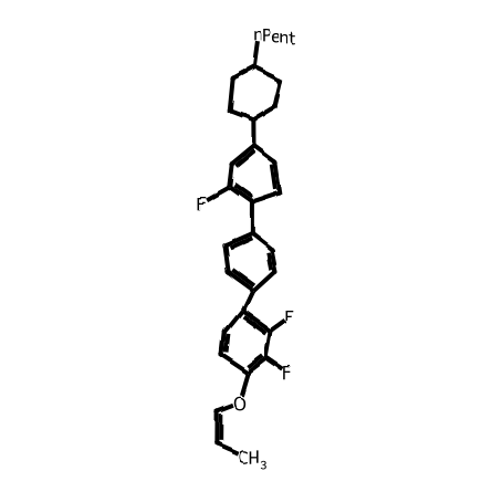 C/C=C\Oc1ccc(-c2ccc(-c3ccc(C4CCC(CCCCC)CC4)cc3F)cc2)c(F)c1F